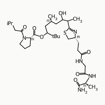 CC(C)CC(=O)N1CCC[C@H]1C(=O)OC(C[C@@H](C)CC(O)C(C)C1=N[C@H](CCC(=O)NCC(=O)N[C@@H](C)C(N)=O)CS1)C(C)(C)C